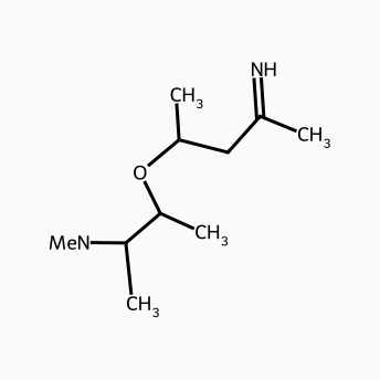 CNC(C)C(C)OC(C)CC(C)=N